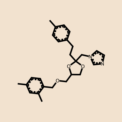 Cc1ccc(CCC2(Cn3ccnc3)OCC(COCc3ccc(C)cc3C)O2)cc1